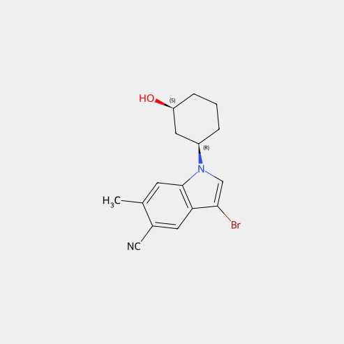 Cc1cc2c(cc1C#N)c(Br)cn2[C@@H]1CCC[C@H](O)C1